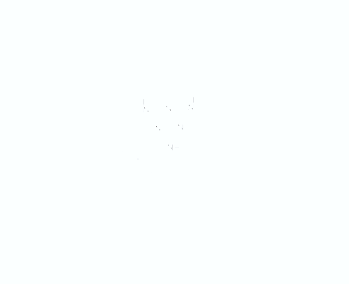 CSc1cccc(Nc2nc(Nc3cccc(C)c3)nc(Nc3cccc(C)c3)n2)c1